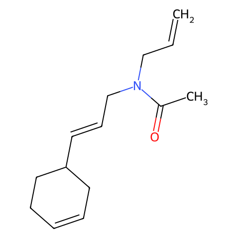 C=CCN(C/C=C/C1CC=CCC1)C(C)=O